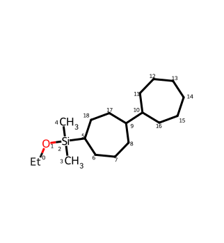 CCO[Si](C)(C)C1CCCC(C2CCCCCC2)CC1